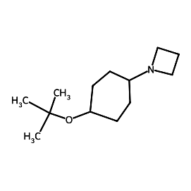 CC(C)(C)OC1CCC(N2CCC2)CC1